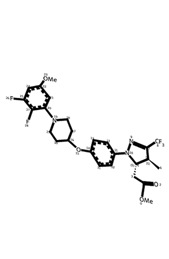 COC(=O)C[C@H]1[C@H](C)C(C(F)(F)F)=NN1c1ccc(OC2CCN(c3cc(OC)cc(F)c3F)CC2)cc1